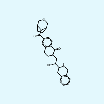 O=C1c2ccc(C(=O)N3C4CCC3COC4)cc2CCN1CC(O)C1Cc2ccccc2CN1